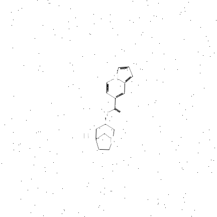 O=C(N[C@@H]1C[C@@H]2CCN(C2)C1)c1ccn2cccc2c1